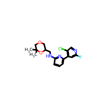 CC1(C)COCC(CNc2cccc(-c3cc(F)ncc3Cl)n2)O1